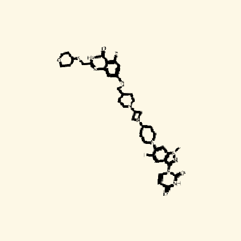 Cn1nc(-n2ccc(=O)[nH]c2=O)c2cc(F)c(N3CCC(N4CC(N5CCC(COc6cc(F)c7c(=O)[nH]c(CSC8CCOCC8)nc7c6)CC5)C4)CC3)cc21